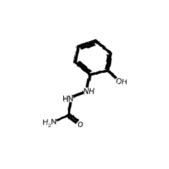 NC(=O)NNc1ccccc1O